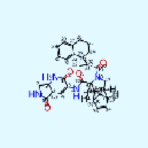 NC(=O)C(=C[C@@H]1CCNC1=O)NC(=O)[C@@H]1[C@@H]2[C@H](CN1C(=O)[C@@H]1C[C@]13CCCc1ccccc13)[C@@H]1C=C[C@H]2C1